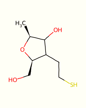 C[C@@H]1O[C@H](CO)C(CCS)C1O